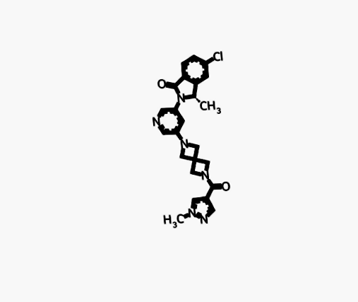 C[C@H]1c2cc(Cl)ccc2C(=O)N1c1cncc(N2CC3(CN(C(=O)c4cnn(C)c4)C3)C2)c1